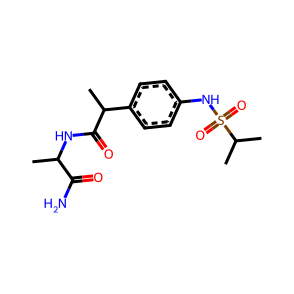 CC(NC(=O)C(C)c1ccc(NS(=O)(=O)C(C)C)cc1)C(N)=O